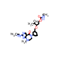 CCNc1ncc2c(n1)N(C)CCN(c1cccc(COC(CCOC(=O)NC)C(C)C)c1)C2=O